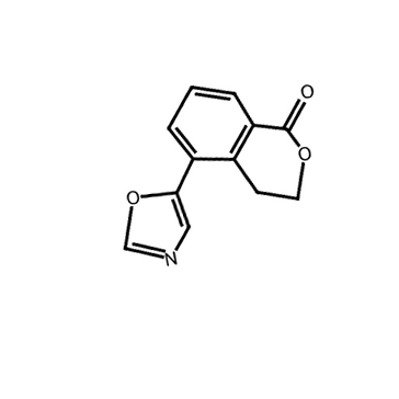 O=C1OCCc2c1cccc2-c1cnco1